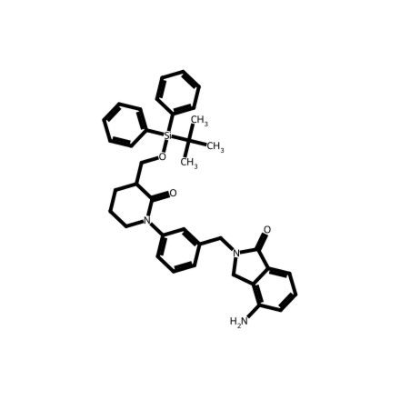 CC(C)(C)[Si](OCC1CCCN(c2cccc(CN3Cc4c(N)cccc4C3=O)c2)C1=O)(c1ccccc1)c1ccccc1